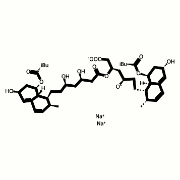 CC[C@H](C)C(=O)O[C@H]1C[C@H](O)C=C2C=C[C@H](C)[C@H](CC[C@@H]([O-])C[C@H](CC(=O)[O-])OC(=O)C[C@H](O)C[C@H](O)CC[C@@H]3[C@@H]4C(=C[C@@H](O)C[C@@H]4OC(=O)[C@@H](C)CC)C=C[C@@H]3C)[C@H]21.[Na+].[Na+]